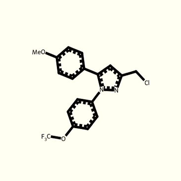 COc1ccc(-c2cc(CCl)nn2-c2ccc(OC(F)(F)F)cc2)cc1